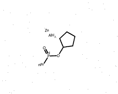 CCC[PH](=O)OC1CCCC1.[AlH3].[Zn]